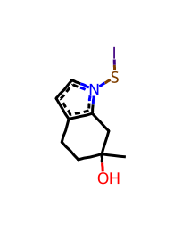 CC1(O)CCc2ccn(SI)c2C1